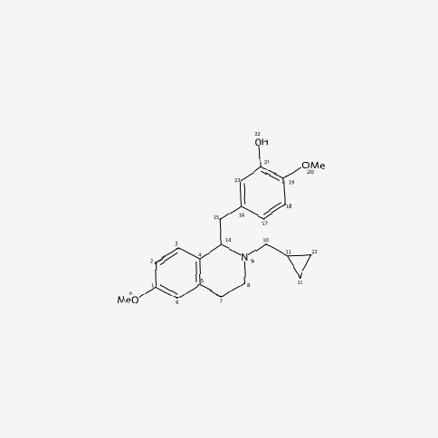 COc1ccc2c(c1)CCN(CC1CC1)C2Cc1ccc(OC)c(O)c1